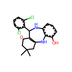 CC1(C)CC(=O)C2=C(C1)Nc1c(O)cccc1NC2c1c(Cl)cccc1Cl